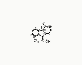 C[C@H]1NCCN2C(=O)c3c(cccc3C(F)(F)F)[C@@H]12.Cl